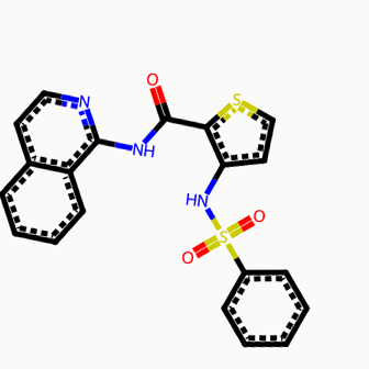 O=C(Nc1nccc2ccccc12)c1sccc1NS(=O)(=O)c1ccccc1